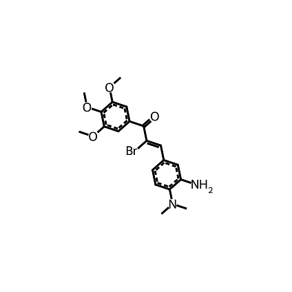 COc1cc(C(=O)C(Br)=Cc2ccc(N(C)C)c(N)c2)cc(OC)c1OC